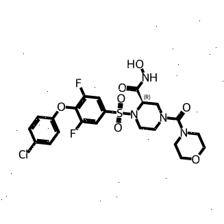 O=C(NO)[C@H]1CN(C(=O)N2CCOCC2)CCN1S(=O)(=O)c1cc(F)c(Oc2ccc(Cl)cc2)c(F)c1